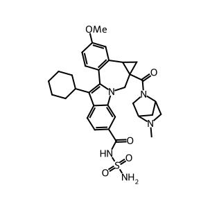 COc1ccc2c(c1)C1CC1(C(=O)N1CC3CC1CN3C)Cn1c-2c(C2CCCCC2)c2ccc(C(=O)NS(N)(=O)=O)cc21